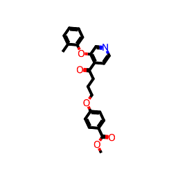 COC(=O)c1ccc(OCCCC(=O)c2ccncc2Oc2ccccc2C)cc1